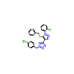 Fc1ccccc1-n1ncc(-c2nnn(Cc3ccc(Br)cc3)n2)c1SCc1ccccc1